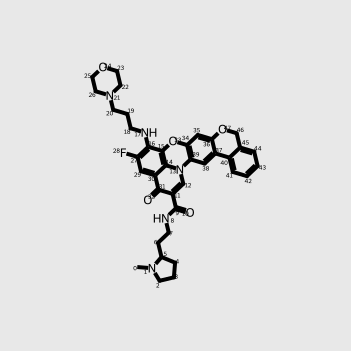 CN1CCCC1CCNC(=O)c1cn2c3c(c(NCCCN4CCOCC4)c(F)cc3c1=O)Oc1cc3c(cc1-2)-c1ccccc1CO3